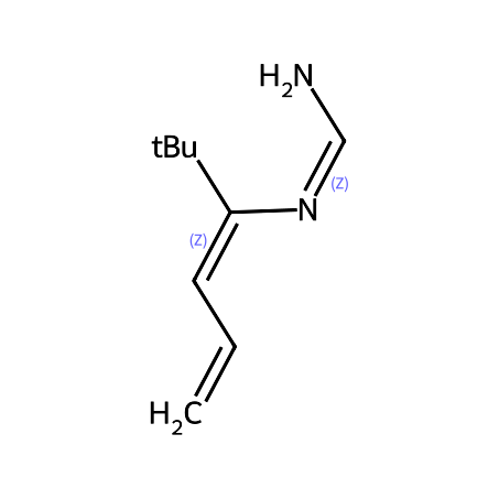 C=C/C=C(\N=C/N)C(C)(C)C